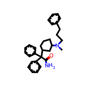 CN(CCCc1ccccc1)C1CCCC(C(C(N)=O)(c2ccccc2)c2ccccc2)C1